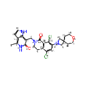 Cc1[nH]c(=O)c(CN2CCc3c(Cl)cc(N4CC5(CCOCC5)C4)c(Cl)c3C2=O)c2[nH]ccc12